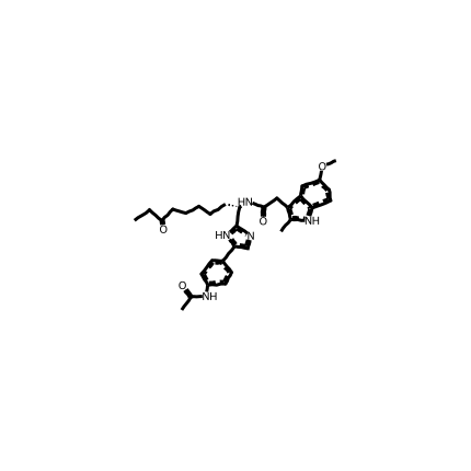 CCC(=O)CCCCC[C@H](NC(=O)Cc1c(C)[nH]c2ccc(OC)cc12)c1ncc(-c2ccc(NC(C)=O)cc2)[nH]1